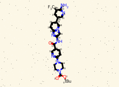 CC(C)(C)OC(=O)N1CCN(c2ccc(C(=O)Nc3cn4cc(-c5cnc(N)c(C(F)(F)F)c5)ccc4n3)cn2)CC1